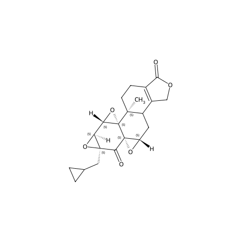 C[C@]12CCC3=C(COC3=O)C1C[C@@H]1O[C@@]13C(=O)[C@@]1(CC4CC4)O[C@H]1[C@@H]1O[C@]123